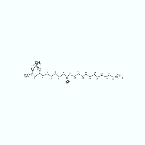 [CH2]C(CCCCCCCCCCCCCCCCCCCCCC)OC(C)=O.[KH]